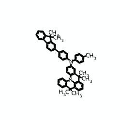 Cc1ccc(N(c2ccc(-c3ccc4c(c3)C(C)(C)c3ccccc3-4)cc2)c2ccc3c(c2)C(C)(C)c2cccc4c2N3c2ccccc2C4(C)C)cc1